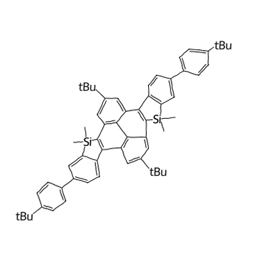 CC(C)(C)c1ccc(-c2ccc3c(c2)[Si](C)(C)c2c-3c3cc(C(C)(C)C)cc4c5c(c6cc(C(C)(C)C)cc2c6c34)-c2ccc(-c3ccc(C(C)(C)C)cc3)cc2[Si]5(C)C)cc1